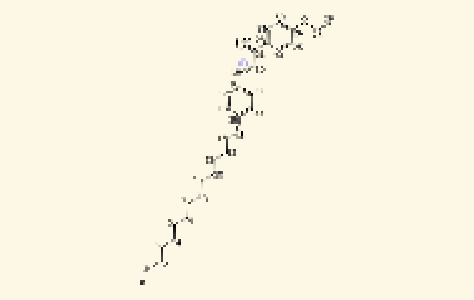 CCCCCCCCCCCCCCSc1ccc(/C=C/C(=O)c2ccc(CCC)cc2)cc1